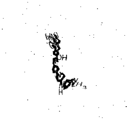 Cn1ncc2cc(NC3CCN(c4ccc(CN5CC(O)(c6ccc7c(c6)CN(C6CCC(=O)NC6=O)C7=O)C5)cc4)CC3)ccc21